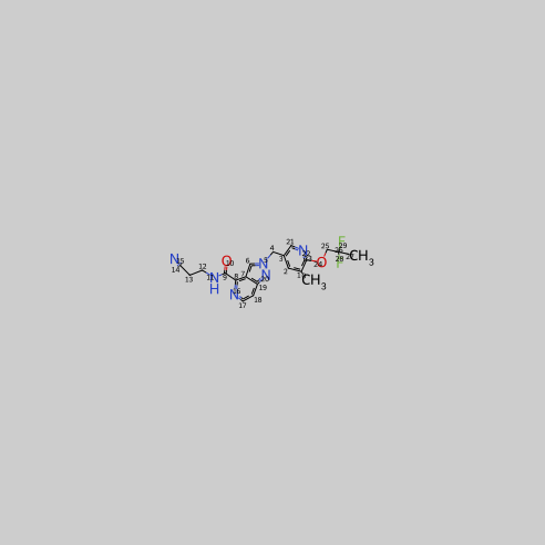 Cc1cc(Cn2cc3c(C(=O)NCCC#N)nccc3n2)cnc1OCC(C)(F)F